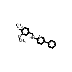 COc1ccc(CNc2ccc(-c3ccccc3)cn2)cc1OC